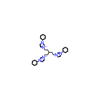 c1ccc(-n2cc[n+](CCC(CC[n+]3ccn(-c4ccccc4)c3)CC[n+]3ccn(-c4ccccc4)c3)c2)cc1